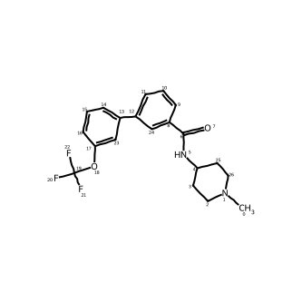 CN1CCC(NC(=O)c2cccc(-c3cccc(OC(F)(F)F)c3)c2)CC1